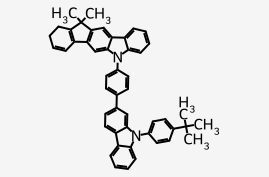 CC(C)(C)c1ccc(-n2c3ccccc3c3ccc(-c4ccc(-n5c6ccccc6c6cc7c(cc65)C5=C(CCC=C5)C7(C)C)cc4)cc32)cc1